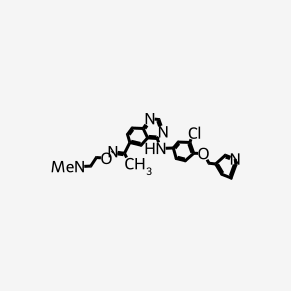 CNCCO/N=C(\C)c1ccc2ncnc(Nc3ccc(OCc4cccnc4)c(Cl)c3)c2c1